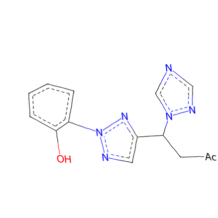 CC(=O)CC(c1cnn(-c2ccccc2O)n1)n1cncn1